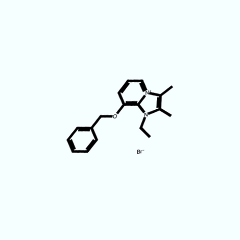 CCn1c(C)c(C)[n+]2cccc(OCc3ccccc3)c12.[Br-]